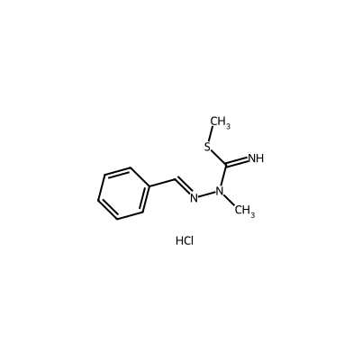 CSC(=N)N(C)N=Cc1ccccc1.Cl